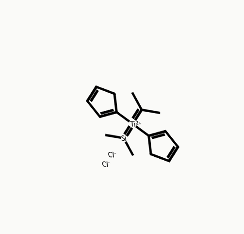 C[C](C)=[Ti+2]([C]1=CC=CC1)([C]1=CC=CC1)=[Si](C)C.[Cl-].[Cl-]